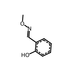 CON=Cc1ccccc1O